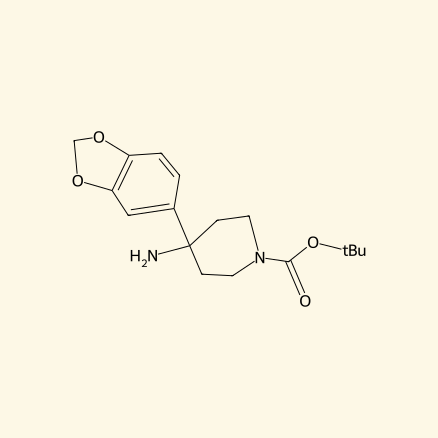 CC(C)(C)OC(=O)N1CCC(N)(c2ccc3c(c2)OCO3)CC1